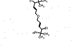 CCCC(C)(C)C(C=CCOCC=CC(CC)C(C)(C)CCC)CC